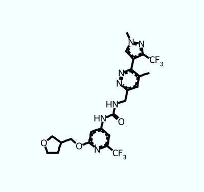 Cc1cc(CNC(=O)Nc2cc(OCC3CCOC3)nc(C(F)(F)F)c2)nnc1-c1cn(C)nc1C(F)(F)F